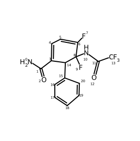 NC(=O)C1=CC=C(F)C(F)(NC(=O)C(F)(F)F)C1c1ccccc1